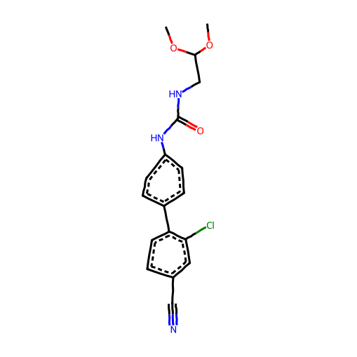 COC(CNC(=O)Nc1ccc(-c2ccc(C#N)cc2Cl)cc1)OC